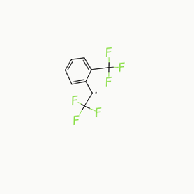 FC(F)(F)[CH]c1ccccc1C(F)(F)F